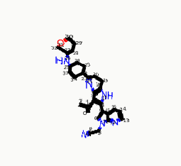 CC(C)c1c(-c2cn(CC#N)c3ncccc23)[nH]c2ccc(C3CCC(NC4CCCOC4)CC3)nc12